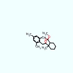 COC(=O)C1CCCCC1(C)C(=O)Cc1c(C)cc(C)cc1C